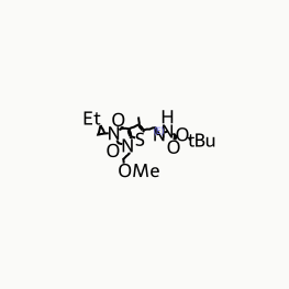 CCC1CC1n1c(=O)c2c(C)c(/C=N/NC(=O)OC(C)(C)C)sc2n(CCOC)c1=O